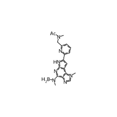 BN(C)c1nc2[nH]c(-c3cccc(CN(C)C(C)=O)n3)cc2c2c1ncn2C